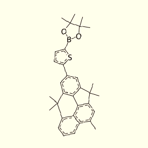 Cc1cc2c3c4c(cccc14)C(C)(C)c1cc(-c4ccc(B5OC(C)(C)C(C)(C)O5)s4)cc(c1-3)C2(C)C